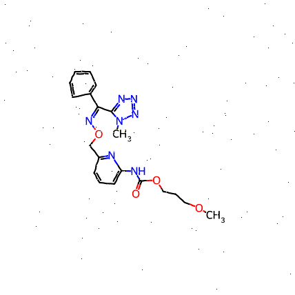 COCCCOC(=O)Nc1cccc(CO/N=C(/c2ccccc2)c2nnnn2C)n1